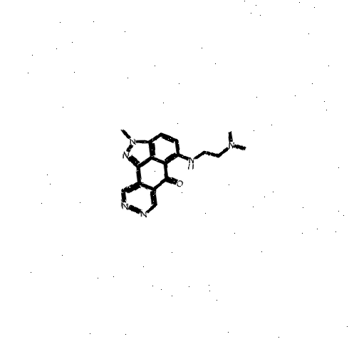 CN(C)CCNc1ccc2c3c(nn2C)-c2cnncc2C(=O)c13